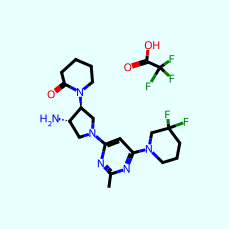 Cc1nc(N2C[C@H](N)[C@@H](N3CCCCC3=O)C2)cc(N2CCCC(F)(F)C2)n1.O=C(O)C(F)(F)F